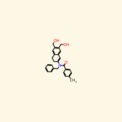 Cc1ccc(C(=O)N(Cc2ccccc2)C2=Cc3cc(CO)c(CO)cc3CC2)cc1